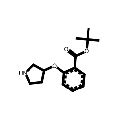 CC(C)(C)OC(=O)c1ccccc1OC1CCNC1